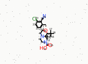 Cc1c([C@H]2CN3CCN(C(=O)O)C[C@H]3C(C(C)(C)C)O2)ccc(Cl)c1C#N